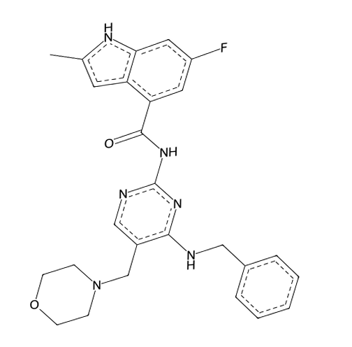 Cc1cc2c(C(=O)Nc3ncc(CN4CCOCC4)c(NCc4ccccc4)n3)cc(F)cc2[nH]1